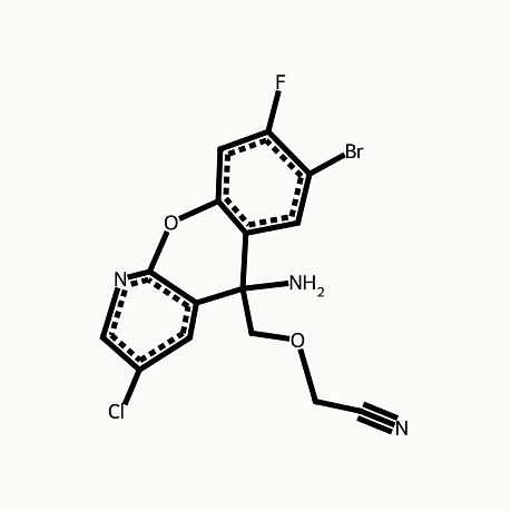 N#CCOCC1(N)c2cc(Br)c(F)cc2Oc2ncc(Cl)cc21